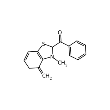 C=C1CC=CC2=C1N(C)C(C(=O)c1ccccc1)S2